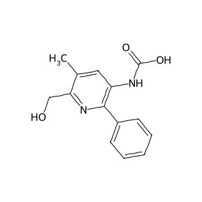 Cc1cc(NC(=O)O)c(-c2ccccc2)nc1CO